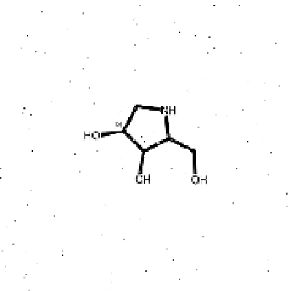 OCC1NC[C@H](O)C1O